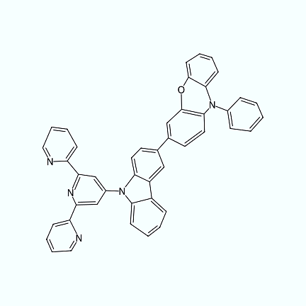 c1ccc(N2c3ccccc3Oc3cc(-c4ccc5c(c4)c4ccccc4n5-c4cc(-c5ccccn5)nc(-c5ccccn5)c4)ccc32)cc1